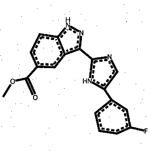 COC(=O)c1ccc2[nH]nc(-c3ncc(-c4cccc(F)c4)[nH]3)c2c1